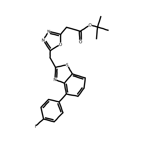 CC(C)(C)OC(=O)Cc1nnc(Cc2nc3c(-c4ccc(I)cc4)cccc3s2)o1